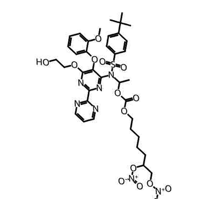 COc1ccccc1Oc1c(OCCO)nc(-c2ncccn2)nc1N(C(C)OC(=O)OCCCCCC(CO[N+](=O)[O-])O[N+](=O)[O-])S(=O)(=O)c1ccc(C(C)(C)C)cc1